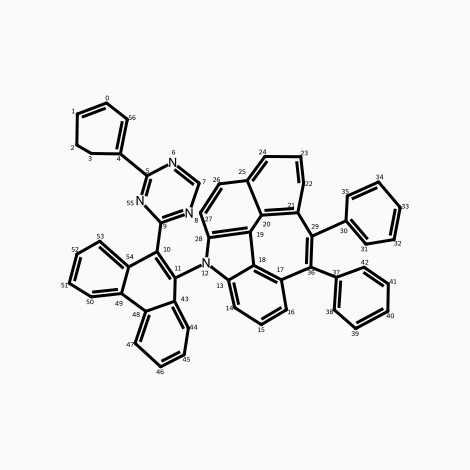 C1=CCCC(c2ncnc(-c3c(-n4c5cccc6c5c5c7c(cccc7ccc54)C(c4ccccc4)=C6c4ccccc4)c4ccccc4c4ccccc34)n2)=C1